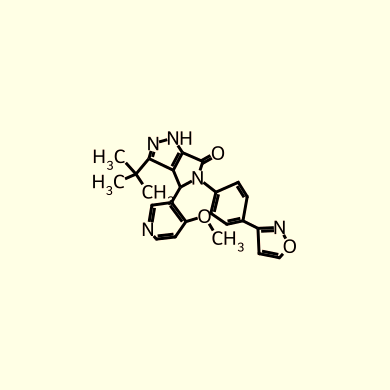 COc1ccncc1C1c2c(C(C)(C)C)n[nH]c2C(=O)N1c1ccc(-c2ccon2)cc1